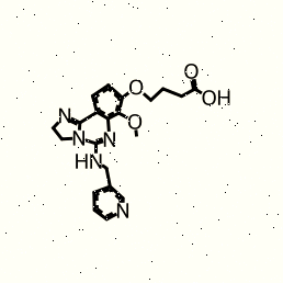 COc1c(OCCCC(=O)O)ccc2c1N=C(NCc1cccnc1)N1CCN=C21